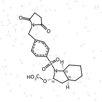 O=C(O)O[C@H]1C[C@@H]2CCCC[C@@H]2N1S(=O)(=O)c1ccc(CN2C(=O)CCC2=O)cc1